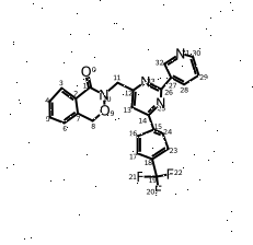 O=C1c2ccccc2CON1Cc1cc(-c2ccc(C(F)(F)F)cc2)nc(-c2cccnc2)n1